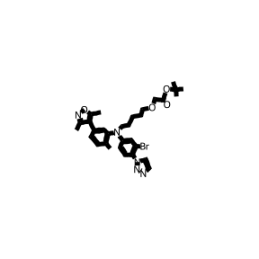 Cc1ccc(-c2c(C)noc2C)cc1N(CCCCCOCC(=O)OC(C)(C)C)c1ccc(-n2ccnn2)c(Br)c1